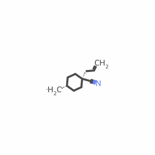 C=CC[C@]1(C#N)CC[C@H]([CH2])CC1